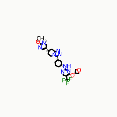 COc1ncc([C@H]2CCn3c(nnc3[C@H]3CCC[C@@H](Nc4ncc(C(F)(F)F)c(OC5COC5)n4)C3)C2)cn1